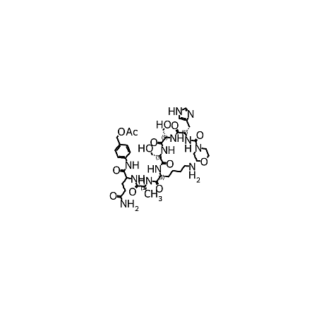 CC(=O)OCc1ccc(NC(=O)C(CCC(N)=O)NC(=O)[C@H](C)NC(=O)[C@H](CCCCN)NC(=O)[C@H](CO)NC(=O)[C@H](CO)NC(=O)[C@H](Cc2c[nH]cn2)NC(=O)N2CCOCC2)cc1